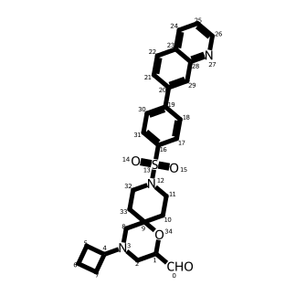 O=CC1CN(C2CCC2)CC2(CCN(S(=O)(=O)c3ccc(-c4ccc5cccnc5c4)cc3)CC2)O1